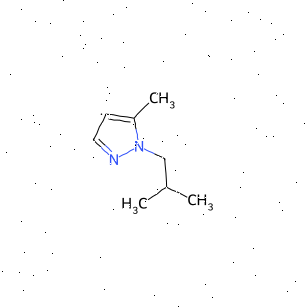 Cc1[c]cnn1CC(C)C